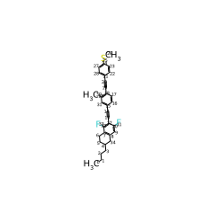 CCCCC1CCc2c(cc(F)c(C#Cc3ccc(C#Cc4ccc(SC)cc4)c(C)c3)c2F)C1